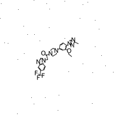 CCOc1cc(N2CCN(C(=O)Cn3cnc4cc(C(F)(F)F)ccc43)CC2)ccc1-n1cnc(C)n1